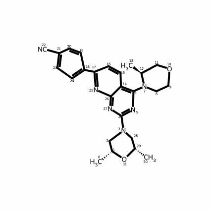 C[C@@H]1CN(c2nc(N3CCOC[C@@H]3C)c3ccc(-c4ccc(C#N)cc4)nc3n2)C[C@H](C)O1